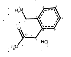 Cl.NCc1ccccc1CC(=O)O